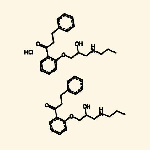 CCCNCC(O)COc1ccccc1C(=O)CCc1ccccc1.CCCNCC(O)COc1ccccc1C(=O)CCc1ccccc1.Cl